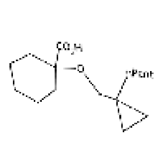 CCCCCC1(COC2(C(=O)O)CCCCC2)CC1